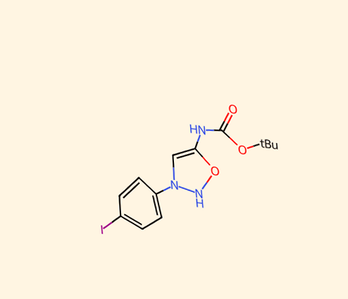 CC(C)(C)OC(=O)NC1=CN(c2ccc(I)cc2)NO1